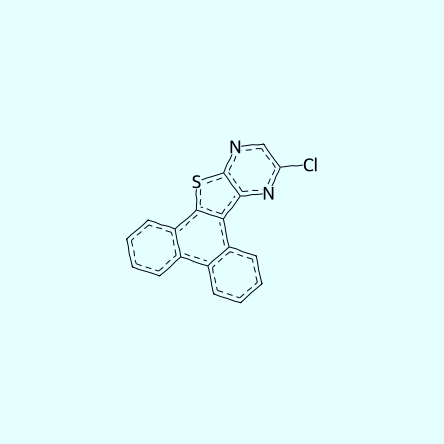 Clc1cnc2sc3c4ccccc4c4ccccc4c3c2n1